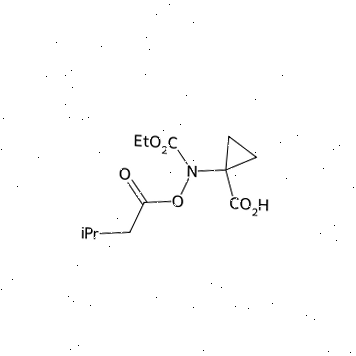 CCOC(=O)N(OC(=O)CC(C)C)C1(C(=O)O)CC1